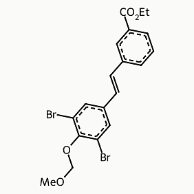 CCOC(=O)c1cccc(/C=C/c2cc(Br)c(OCOC)c(Br)c2)c1